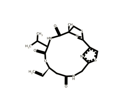 C=C[C@@H]1CC(=O)NCc2nc(cs2)C2=N[C@@](C)(CS2)C(=O)NC(C(C)C)C(=O)O1